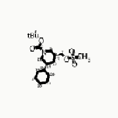 CC(C)(C)OC(=O)N1C[C@@H](COS(C)(=O)=O)C[C@@H](C2CCCCC2)C1